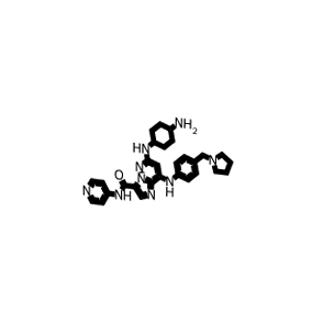 NC1CCC(Nc2cc(Nc3ccc(CN4CCCC4)cc3)c3ncc(C(=O)Nc4ccncc4)n3n2)CC1